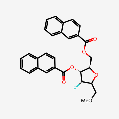 COCC1O[C@H](COC(=O)c2ccc3ccccc3c2)[C@@H](OC(=O)c2ccc3ccccc3c2)[C@@H]1F